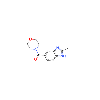 Cc1nc2cc(C(=O)N3CCOCC3)ccc2[nH]1